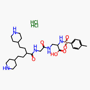 Cc1ccc(S(=O)(=O)NC(CNC(=O)CNC(=O)C(CCC2CCNCC2)CCC2CCNCC2)C(=O)O)cc1.Cl.Cl